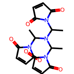 CC(N1C(=O)C=CC1=O)N(C(C)N1C(=O)C=CC1=O)C(C)N1C(=O)C=CC1=O